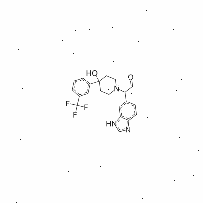 O=CC(c1ccc2nc[nH]c2c1)N1CCC(O)(c2cccc(C(F)(F)F)c2)CC1